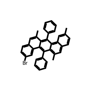 Cc1ccc2cc(C)c3c(-c4ccccc4)c4c(c(C)cc5ccc(Br)cc54)c(-c4ccccc4)c3c2c1